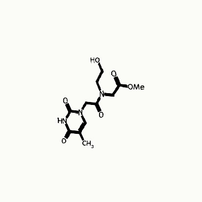 COC(=O)CN(CCO)C(=O)Cn1cc(C)c(=O)[nH]c1=O